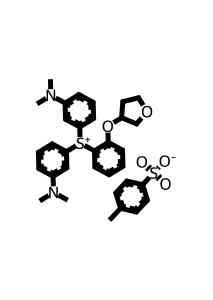 CN(C)c1cccc([S+](c2cccc(N(C)C)c2)c2ccccc2OC2CCOC2)c1.Cc1ccc(S(=O)(=O)[O-])cc1